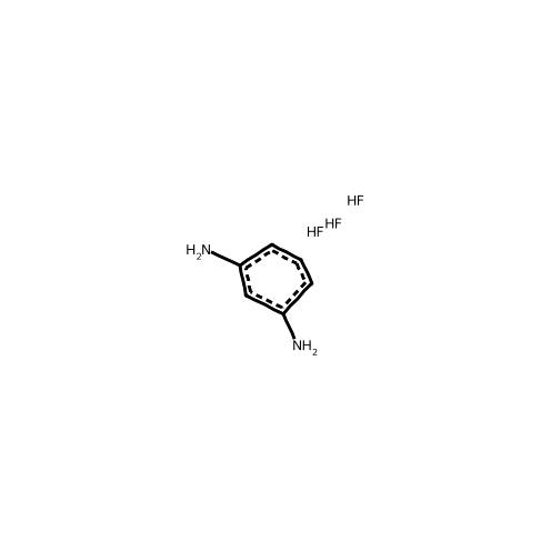 F.F.F.Nc1cccc(N)c1